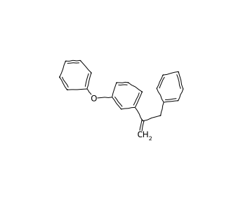 C=C(Cc1ccccc1)c1cccc(Oc2ccccc2)c1